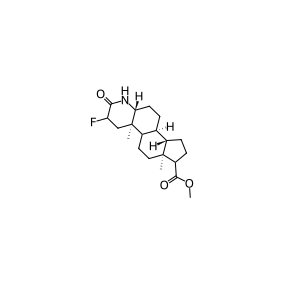 COC(=O)C1CC[C@H]2[C@@H]3CC[C@H]4NC(=O)C(F)C[C@]4(C)C3CC[C@]12C